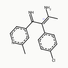 C/C(N)=C(/C(=N)c1ccnc(C)c1)c1ccc(Cl)cc1